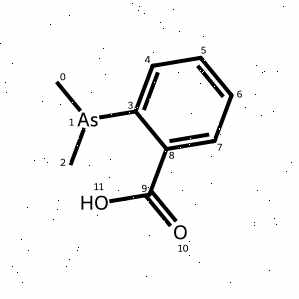 C[As](C)c1ccccc1C(=O)O